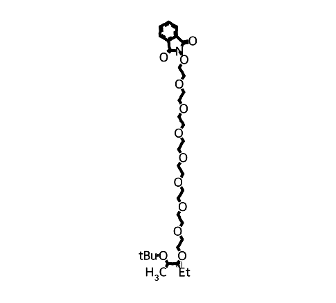 CC[C@@H](OCCOCCOCCOCCOCCOCCOCCOCCON1C(=O)c2ccccc2C1=O)C(C)OC(C)(C)C